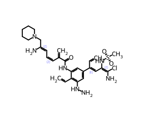 C=C/C(=C\C(NS(C)(=O)=O)=C(/N)Cl)c1cc(NN)c(C=C)c(NC(=O)C(=C)/C=C\C=C(/N)CN2CCCCC2)c1